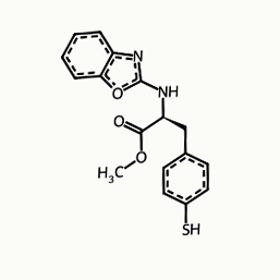 COC(=O)[C@H](Cc1ccc(S)cc1)Nc1nc2ccccc2o1